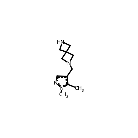 Cc1c(CN2CC3(CNC3)C2)cnn1C